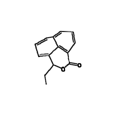 CCC1OC(=O)c2cccc3cccc1c23